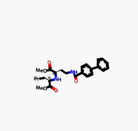 COC(=O)[C@H](CCNC(=O)c1ccc(-c2ccccc2)cc1)N[C@@H](CC(C)C)C(=O)OC